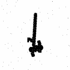 C#CCCc1ccccc1/N=C(C#CCCCCCCCCCCCCCCCCCCCCCCCCCC)/C(CCCC)=N/c1ccccc1CCC#C.[Pd]